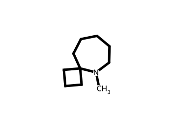 CN1CCCCCC12CCC2